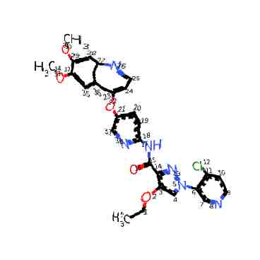 CCOc1cn(-c2cnccc2Cl)nc1C(=O)Nc1ccc(OC2=CC=NC3C=C(OC)C(OC)=CC23)cn1